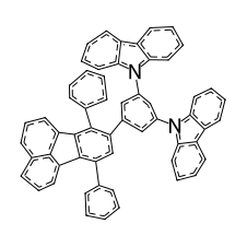 c1ccc(-c2cc(-c3cc(-n4c5ccccc5c5ccccc54)cc(-n4c5ccccc5c5ccccc54)c3)c(-c3ccccc3)c3c2-c2cccc4cccc-3c24)cc1